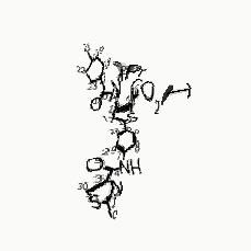 Cc1nc(C(=O)Nc2ccc(-c3cc(N(C(=O)C4CCC(C)CC4)C(C)C)c(C(=O)O)s3)cc2)cs1